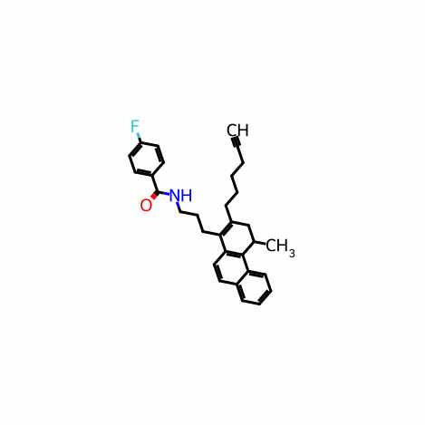 C#CCCCCC1=C(CCCNC(=O)c2ccc(F)cc2)c2ccc3ccccc3c2C(C)C1